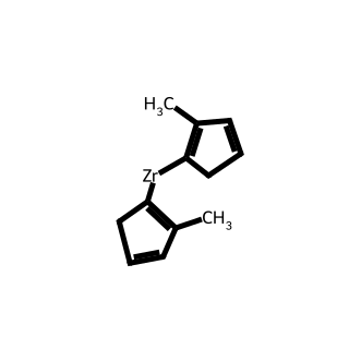 CC1=[C]([Zr][C]2=C(C)C=CC2)CC=C1